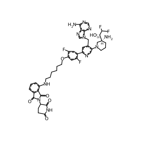 Nc1ncnc2c1ncn2Cc1cc(-c2cc(F)c(OCCCCCCNc3cccc4c3C(=O)N(C3CCC(=O)NC3=O)C4=O)cc2F)ncc1N1CCC[C@](N)([C@H](O)C(F)F)C1